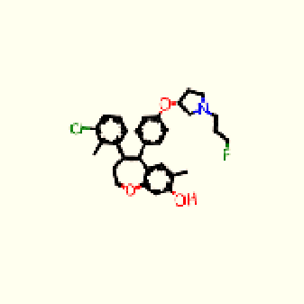 Cc1cc2c(cc1O)OCCC(c1cccc(Cl)c1C)=C2c1ccc(O[C@H]2CCN(CCCF)C2)cc1